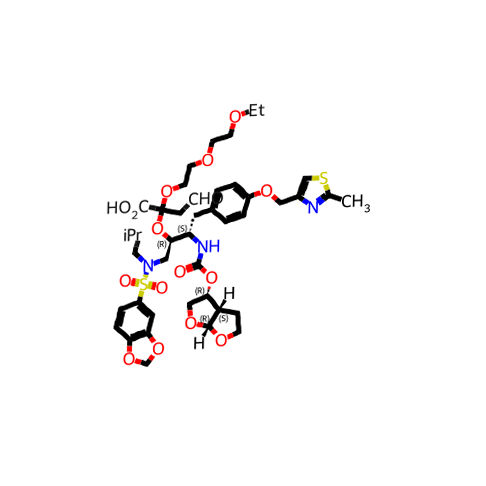 CCOCCOCCOC(CC=O)(O[C@H](CN(CC(C)C)S(=O)(=O)c1ccc2c(c1)OCO2)[C@H](Cc1ccc(OCc2csc(C)n2)cc1)NC(=O)O[C@H]1CO[C@H]2OCC[C@H]21)C(=O)O